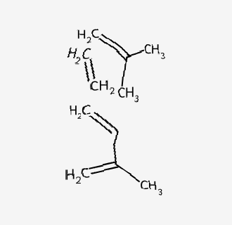 C=C.C=C(C)C.C=CC(=C)C